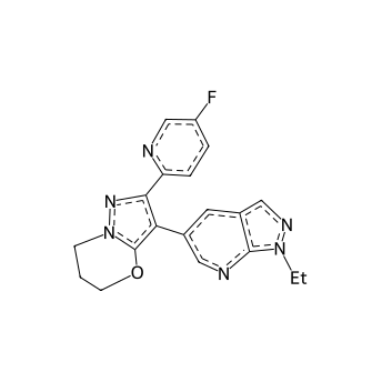 CCn1ncc2cc(-c3c(-c4ccc(F)cn4)nn4c3OCCC4)cnc21